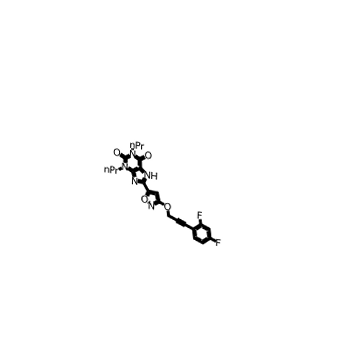 CCCn1c(=O)c2[nH]c(-c3cc(OCC#Cc4ccc(F)cc4F)no3)nc2n(CCC)c1=O